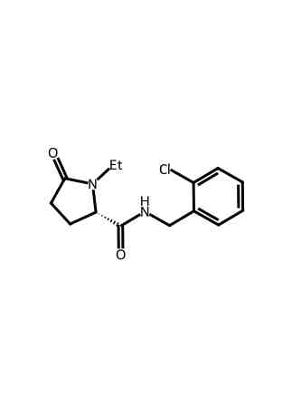 CCN1C(=O)CC[C@H]1C(=O)NCc1ccccc1Cl